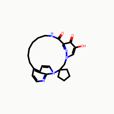 O=C1NCCCCCCc2ccnc3c2ccn3C2(CCCC2)Cn2cc(O)c(=O)c1n2